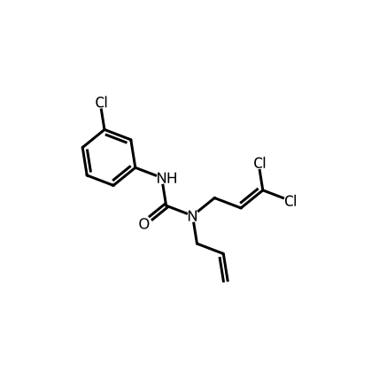 C=CCN(CC=C(Cl)Cl)C(=O)Nc1cccc(Cl)c1